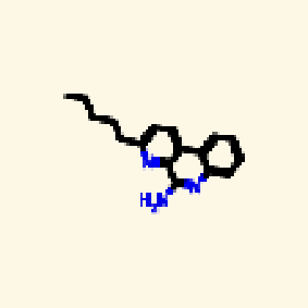 CCCCCc1ccc2c(n1)c(N)nc1ccccc12